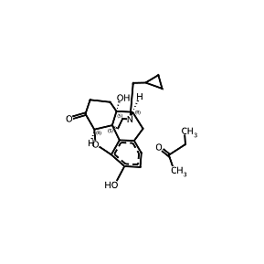 CCC(C)=O.O=C1CC[C@@]2(O)[C@H]3Cc4ccc(O)c5c4[C@@]2(CCN3CC2CC2)[C@H]1O5